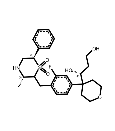 C[C@@H]1NC[C@@H](c2ccccc2)S(=O)(=O)C1Cc1ccc(C2([C@H](O)CCO)CCOCC2)cc1F